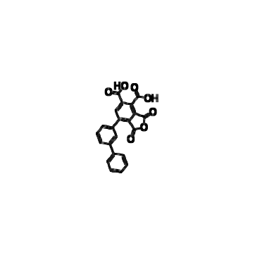 O=C(O)c1cc(-c2cccc(-c3ccccc3)c2)c2c(c1C(=O)O)C(=O)OC2=O